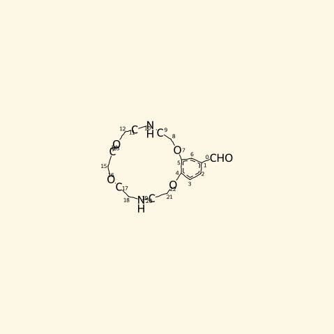 O=Cc1ccc2c(c1)OCCNCCOCCOCCNCCO2